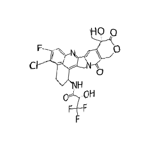 CC[C@@]1(O)C(=O)OCc2c1cc1n(c2=O)Cc2c-1nc1cc(F)c(Cl)c3c1c2[C@@H](NC(=O)[C@H](O)C(F)(F)F)CC3